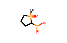 CP1(=O)CCCC1[PH](=O)O